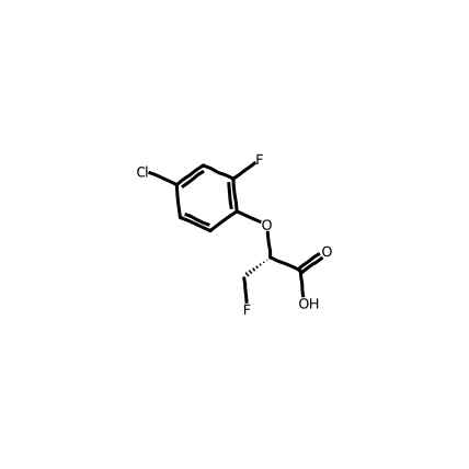 O=C(O)[C@H](CF)Oc1ccc(Cl)cc1F